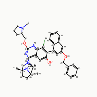 CN1CCCC1COc1nc(N2C[C@H]3CC[C@@H](C2)N3C(=O)O)c2cc(O)c(-c3cc(OCc4ccccc4)cc4ccccc34)c(F)c2n1